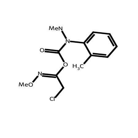 CNN(C(=O)OC(CCl)=NOC)c1ccccc1C